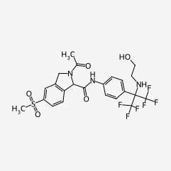 CC(=O)N1Cc2cc(S(C)(=O)=O)ccc2C1C(=O)Nc1ccc(C(NCCO)(C(F)(F)F)C(F)(F)F)cc1